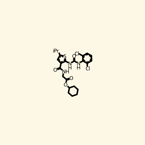 CC(C)c1cc(C(=O)NCC(=O)OC2CCCCC2)c(NC(=O)Nc2c(Cl)cccc2Cl)s1